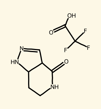 O=C(O)C(F)(F)F.O=C1NCCC2NN=CC12